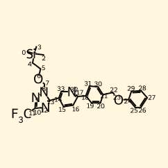 C[Si](C)(C)CCOCn1nc(C(F)(F)F)nc1-c1ccc(-c2ccc(COc3ccccc3)cc2)nc1